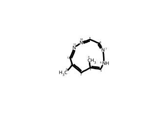 CC1=C/C(C)=C/N/N=C\C=N/N=C\1